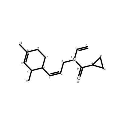 C=CN(C/C=C\C1CCC(C)=CC1C)C(=O)C1CC1